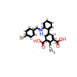 Cc1c(C(=O)O)cc(-c2ccccc2NCc2ccc(Br)cc2)cc1C(=O)O